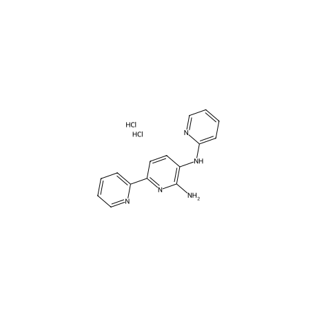 Cl.Cl.Nc1nc(-c2ccccn2)ccc1Nc1ccccn1